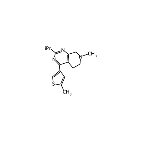 Cc1cc(-c2nc(C(C)C)nc3c2CCN(C)C3)cs1